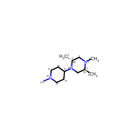 C[C@@H]1CN(C)[C@@H](C)CN1C1CCN(I)CC1